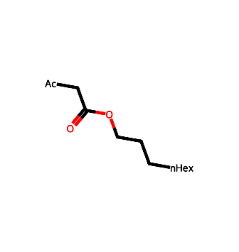 CCCCCCCCCOC(=O)CC(C)=O